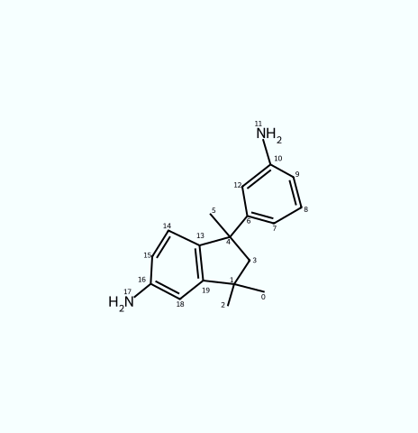 CC1(C)CC(C)(c2cccc(N)c2)c2ccc(N)cc21